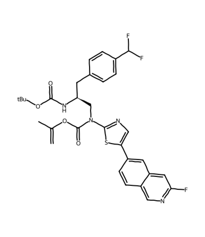 C=C(C)OC(=O)N(C[C@H](Cc1ccc(C(F)F)cc1)NC(=O)OC(C)(C)C)c1ncc(-c2ccc3cnc(F)cc3c2)s1